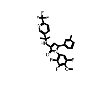 COc1c(F)cc(N2C(=O)C(NC(C)(C)c3ccc(C(F)(F)F)nc3)=CC2c2cccc(C)c2)c(F)c1F